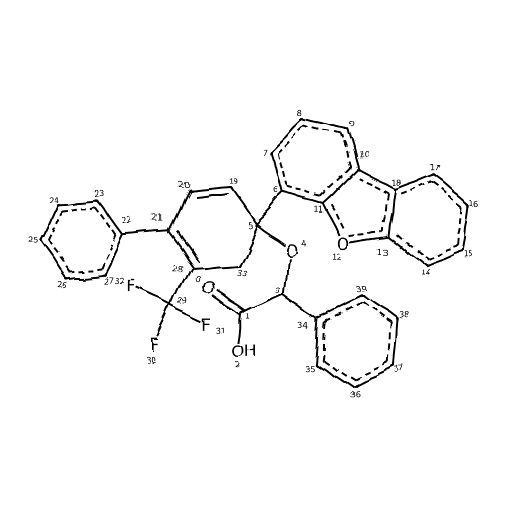 O=C(O)C(OC1(c2cccc3c2oc2ccccc23)C=CC(c2ccccc2)=C(C(F)(F)F)C1)c1ccccc1